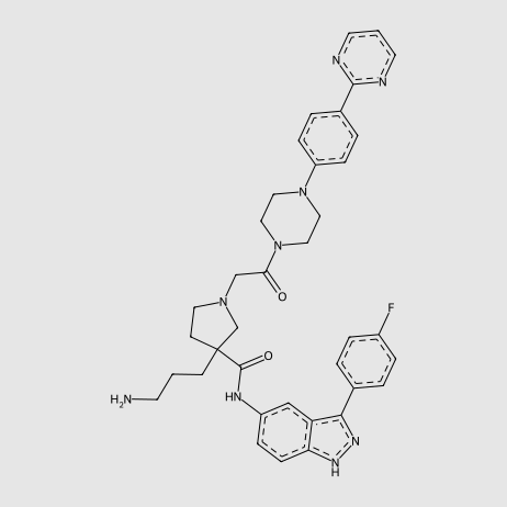 NCCCC1(C(=O)Nc2ccc3[nH]nc(-c4ccc(F)cc4)c3c2)CCN(CC(=O)N2CCN(c3ccc(-c4ncccn4)cc3)CC2)C1